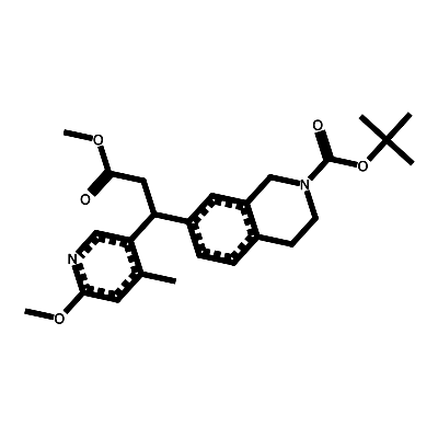 COC(=O)CC(c1ccc2c(c1)CN(C(=O)OC(C)(C)C)CC2)c1cnc(OC)cc1C